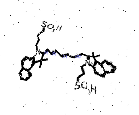 CC1(C)C(/C=C/C=C/C=C/C=C2/N(CCCCS(=O)(=O)O)c3ccc4ccccc4c3C2(C)C)=[N+](CCCS(=O)(=O)O)c2ccc3ccccc3c21